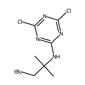 CC(C)(C)CC(C)(C)Nc1nc(Cl)nc(Cl)n1